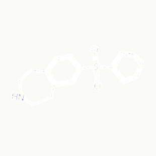 O=S(=O)(c1ccccc1)c1ccc2c(c1)CCNCC2